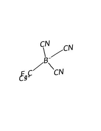 N#C[B-](C#N)(C#N)C(F)(F)F.[Cs+]